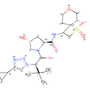 CC(C)(C)[C@H](C(=O)N1C[C@H](O)C[C@H]1C(=O)NC1CS(=O)(=O)C12CCOCC2)n1cc(C2CC2)nn1